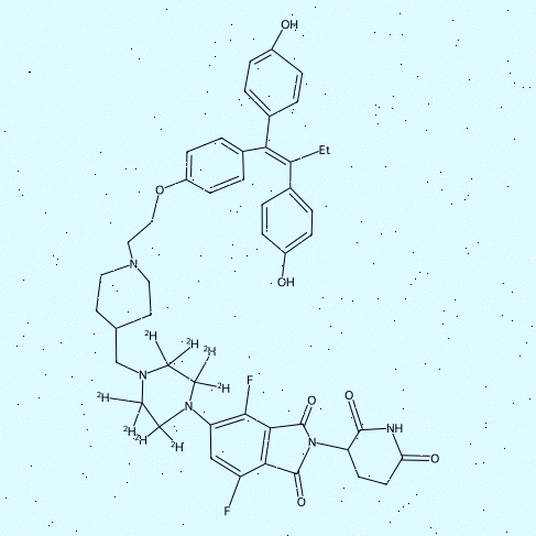 [2H]C1([2H])N(CC2CCN(CCOc3ccc(C(=C(CC)c4ccc(O)cc4)c4ccc(O)cc4)cc3)CC2)C([2H])([2H])C([2H])([2H])N(c2cc(F)c3c(c2F)C(=O)N(C2CCC(=O)NC2=O)C3=O)C1([2H])[2H]